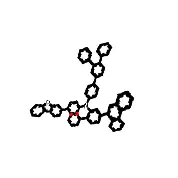 c1ccc(-c2ccc(-c3ccc(N(c4ccc(-c5ccc6c(c5)oc5ccccc56)cc4)c4cc(-c5cc6ccccc6c6ccccc56)ccc4-c4ccccc4)cc3)cc2-c2ccccc2)cc1